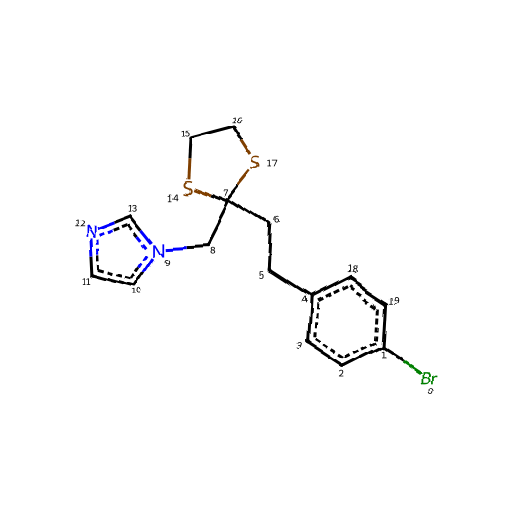 Brc1ccc(CCC2(Cn3ccnc3)SCCS2)cc1